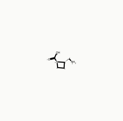 NC[C@@H]1CCN1C(=O)O